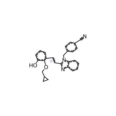 N#Cc1ccc(Cn2c(/C=C/c3cccc(O)c3OCC3CC3)nc3ccccc32)cc1